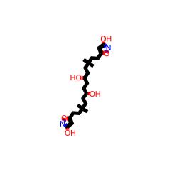 CC(C)(CCc1cc(O)no1)CCC(O)CCC(O)CCC(C)(C)CCc1cc(O)no1